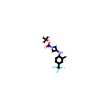 Cc1cc(C(F)(F)F)ccc1NC1CN(C(=O)OC(C)(C)C)C1